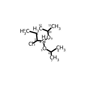 CCC(Cl)[SiH](OC(C)C)OC(C)C